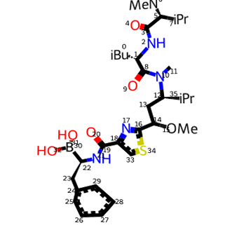 CCC(C)[C@H](NC(=O)[C@@H](NC)C(C)C)C(=O)N(C)[C@H](CC(OC)c1nc(C(=O)N[C@@H](Cc2ccccc2)B(O)O)cs1)C(C)C